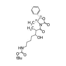 CC(C(=O)N1C(=O)O[C@@H](c2ccccc2)[C@H]1C)C(O)CCCCNC(=O)OC(C)(C)C